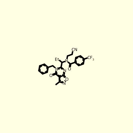 CCC(c1nc2onc(C)c2c(=O)n1Cc1ccccc1)N(CCC#N)C(=O)c1ccc(C(F)(F)F)cc1